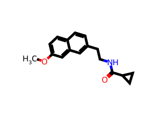 COc1ccc2ccc(CCNC(=O)C3CC3)cc2c1